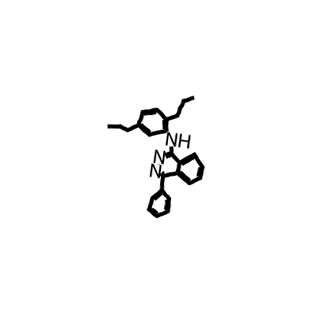 CCCc1ccc(CCC)c(Nc2nnc(-c3ccccc3)c3ccccc23)c1